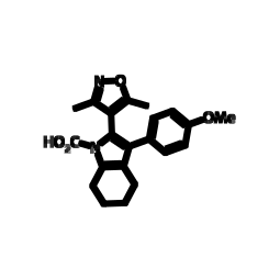 COc1ccc(-c2c3c(n(C(=O)O)c2-c2c(C)noc2C)CCCC3)cc1